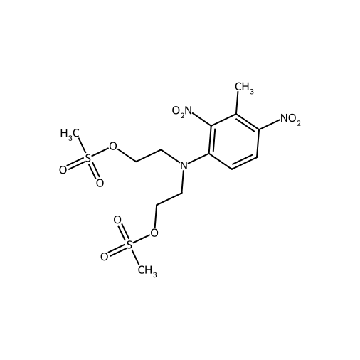 Cc1c([N+](=O)[O-])ccc(N(CCOS(C)(=O)=O)CCOS(C)(=O)=O)c1[N+](=O)[O-]